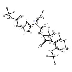 CO/N=C(\C(=O)NC1C(=O)N2C(C(=O)OC(C)(C)C)=C(CO)CS[C@@H]12)c1csc(NC(=O)OC(C)(C)C)n1